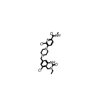 CCN1Cc2c(Cl)cc(CN3CCN(c4ccc(C(=O)NC)nc4Cl)CC3)cc2NC1=O